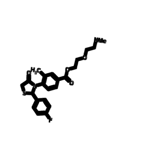 CNCCOCCOC(=O)c1ccc(N2C(=O)CSC2c2ccc(F)cc2)c(C)c1